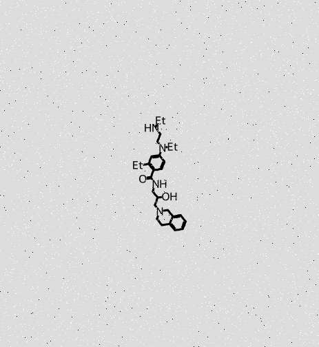 CCNCCN(CC)c1ccc(C(=O)NCC(O)CN2CCc3ccccc3C2)c(CC)c1